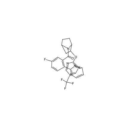 O=C(c1cc(F)ccc1-c1ncccn1)N1C2CCC1C(Oc1ncc(C(F)(F)F)cn1)C2